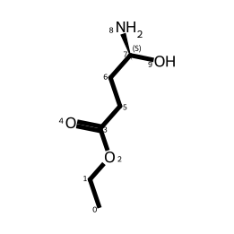 CCOC(=O)CC[C@@H](N)O